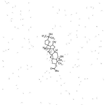 CC(C)(C)C(=O)OC1CCC23C[C@]24CC[C@]2(C)[C@@H]([C@@]5(C)CC[C@@H](C(C)(C)O)O5)[C@@H](O)C[C@@]2(C)[C@@H]4C[C@H](O)[C@H]3C1(C)C